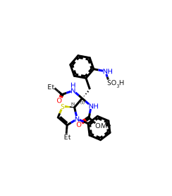 CCC(=O)N[C@@](Cc1ccccc1NS(=O)(=O)O)(NC(=O)OC)[C@@H]1SC=C(CC)N1c1ccccc1